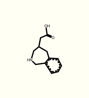 O=C(O)CC1CNCc2ccccc2C1